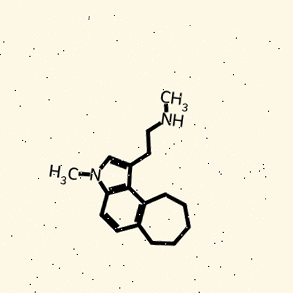 CNCCc1cn(C)c2ccc3c(c12)CCCCC3